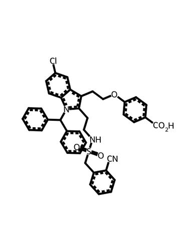 N#Cc1ccccc1CS(=O)(=O)NCCc1c(CCOc2ccc(C(=O)O)cc2)c2cc(Cl)ccc2n1C(c1ccccc1)c1ccccc1